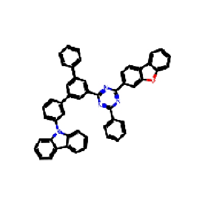 c1ccc(-c2cc(-c3cccc(-n4c5ccccc5c5ccccc54)c3)cc(-c3nc(-c4ccccc4)nc(-c4ccc5c(c4)oc4ccccc45)n3)c2)cc1